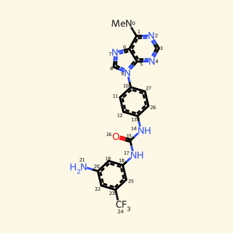 CNc1ncnc2c1ncn2-c1ccc(NC(=O)Nc2cc(N)cc(C(F)(F)F)c2)cc1